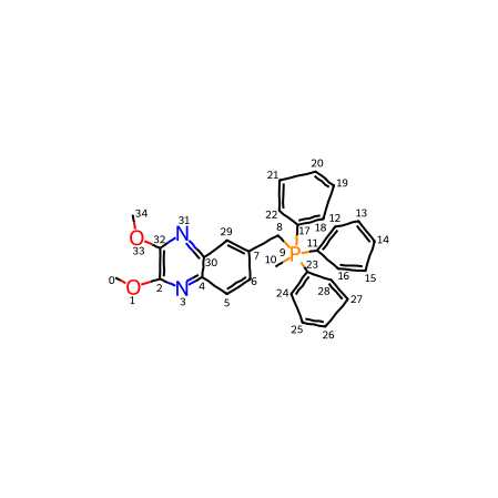 COc1nc2ccc(CP(C)(c3ccccc3)(c3ccccc3)c3ccccc3)cc2nc1OC